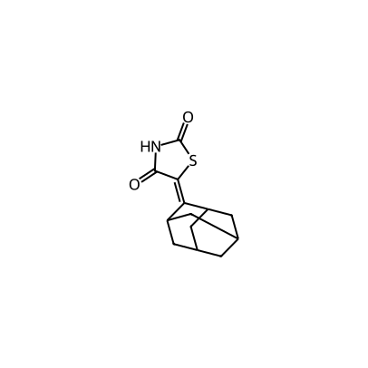 O=C1NC(=O)C(=C2C3CC4CC(C3)CC2C4)S1